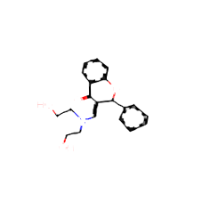 O=C1C(=CN(CCO)CCO)C(c2ccccc2)Oc2ccccc21